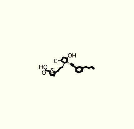 C=CCCc1cccc(C#C[C@@H]2[C@@H](CCCc3ccc(C(=O)O)s3)[C@@H](Cl)C[C@H]2O)c1